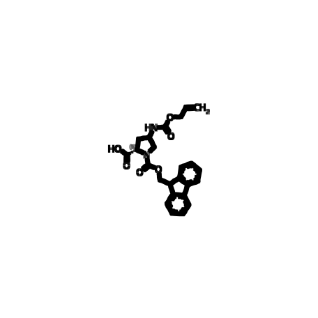 C=CCOC(=O)NC1C[C@@H](C(=O)O)N(C(=O)OCC2c3ccccc3-c3ccccc32)C1